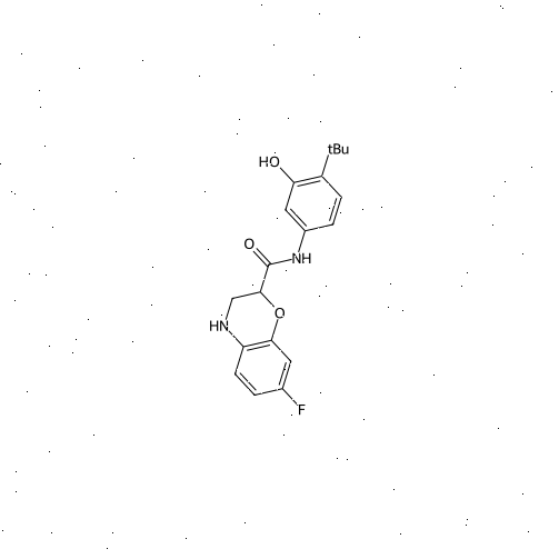 CC(C)(C)c1ccc(NC(=O)C2CNc3ccc(F)cc3O2)cc1O